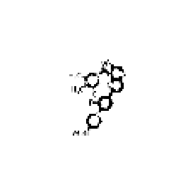 CNC1CCN(c2ccc(-c3ccc4ncc5nnc(N6C[C@@H](C)N(C)[C@@H](C)C6)n5c4n3)cc2F)CC1